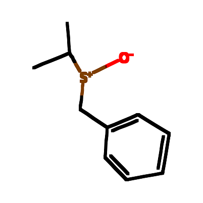 CC(C)[S+]([O-])Cc1ccccc1